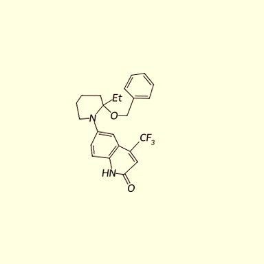 CCC1(OCc2ccccc2)CCCCN1c1ccc2[nH]c(=O)cc(C(F)(F)F)c2c1